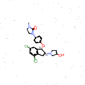 CN1CCN(c2ccc(O[C@H]3c4cc(Cl)cc(Cl)c4C[C@@H]3N3CCC(O)C3)cc2)C1=O